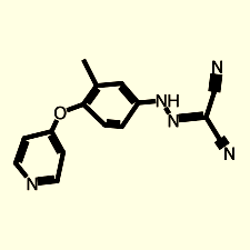 Cc1cc(NN=C(C#N)C#N)ccc1Oc1ccncc1